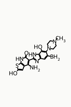 Bc1cc2nc(-c3c(N)c4cc(O)sc4[nH]c3=O)[nH]c2c(O)c1N1CCN(C)CC1